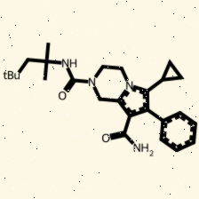 CC(C)(C)CC(C)(C)NC(=O)N1CCn2c(c(C(N)=O)c(-c3ccccc3)c2C2CC2)C1